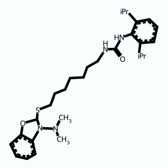 CC(C)c1cccc(C(C)C)c1NC(=O)NCCCCCCCSC1Oc2ccccc2N1N(C)C